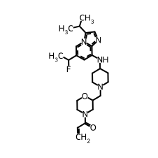 C=CC(=O)N1CCOC(CN2CCC(Nc3cc(C(C)F)cn4c(C(C)C)cnc34)CC2)C1